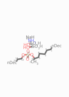 CCCCCCCCCCCCCCCC(C)OS(=O)(=O)OCCCCCCCCCCCC.N.O=S(=O)(O)O.O=S(=O)(O)O.[NaH]